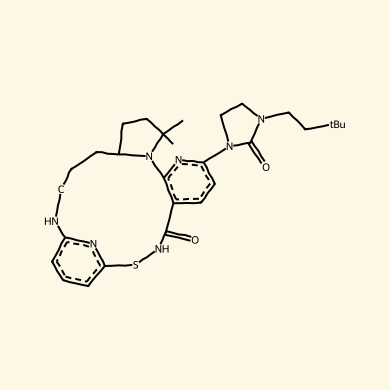 CC(C)(C)CCN1CCN(c2ccc3c(n2)N2C(CCCNc4cccc(n4)SNC3=O)CCC2(C)C)C1=O